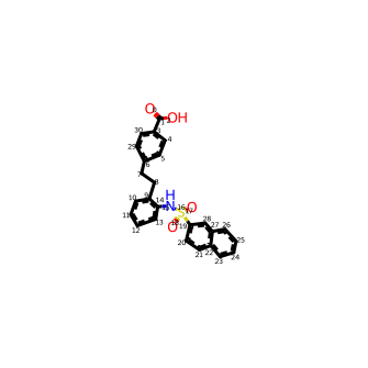 O=C(O)c1ccc(CCc2ccccc2NS(=O)(=O)c2ccc3ccccc3c2)cc1